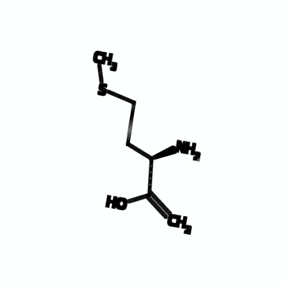 C=C(O)[C@H](N)CCSC